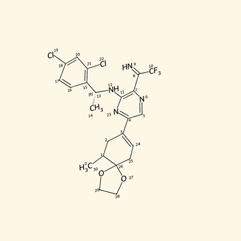 CC1CC(c2cnc(C(=N)C(F)(F)F)c(N[C@H](C)c3ccc(Cl)cc3Cl)n2)=CCC12OCCO2